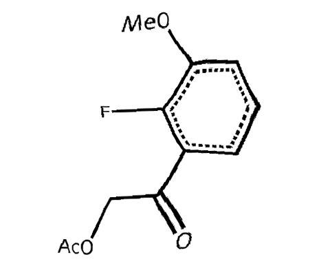 COc1cccc(C(=O)COC(C)=O)c1F